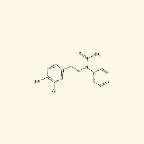 CC(=O)N(CCc1ccc(O)c(O)c1)c1ccccc1